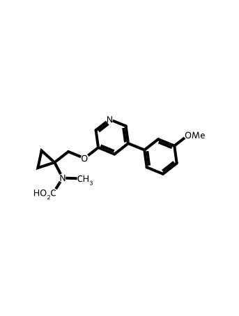 COc1cccc(-c2cncc(OCC3(N(C)C(=O)O)CC3)c2)c1